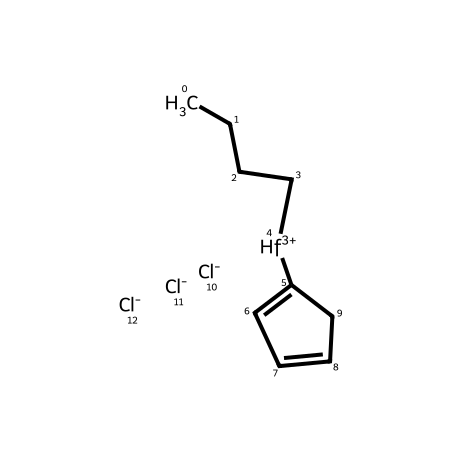 CCC[CH2][Hf+3][C]1=CC=CC1.[Cl-].[Cl-].[Cl-]